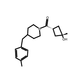 Cc1ccc(CC2CCN(C(=O)[C@H]3C[C@@](C)(O)C3)CC2)cc1